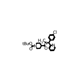 CN(C(=O)C1CCN(C(=O)OC(C)(C)C)CC1)C(c1ccc(Cl)cc1)c1ccccn1